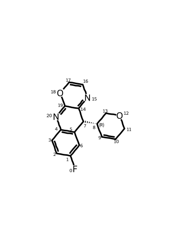 Fc1ccc2c(c1)C([C@H]1C=CCOC1)C1=NC=COC1=N2